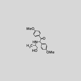 COc1ccc(C(=O)C(NC(C)CO)c2ccc(OC)cc2)cc1